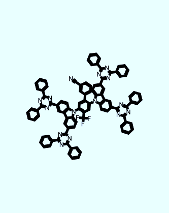 N#Cc1cccc(-c2cc(-n3c4ccc(-c5nc(-c6ccccc6)nc(-c6ccccc6)n5)cc4c4cc(-c5nc(-c6ccccc6)nc(-c6ccccc6)n5)ccc43)c(C(F)(F)F)cc2-n2c3ccc(-c4nc(-c5ccccc5)nc(-c5ccccc5)n4)cc3c3cc(-c4nc(-c5ccccc5)nc(-c5ccccc5)n4)ccc32)c1